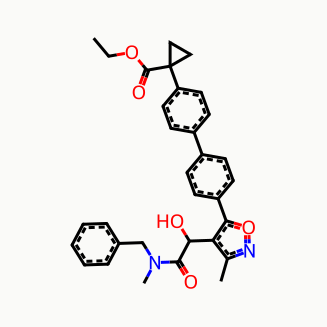 CCOC(=O)C1(c2ccc(-c3ccc(-c4onc(C)c4C(O)C(=O)N(C)Cc4ccccc4)cc3)cc2)CC1